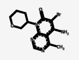 Cc1ncnc2c1c(N)c(Br)c(=O)n2C1CCCOC1